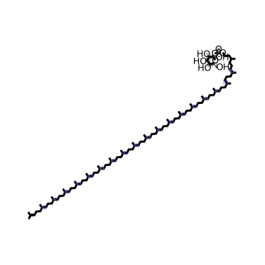 CC(C)=CCC/C(C)=C/CC/C(C)=C/CC/C(C)=C/CC/C(C)=C/CC/C(C)=C/CC/C(C)=C/CC/C(C)=C/CC/C(C)=C/CC/C(C)=C/CC/C(C)=C/CC/C(C)=C/CC/C(C)=C/CC/C(C)=C/CC/C(C)=C/CC/C(C)=C/CC/C(C)=C/CC/C(C)=C/CC/C(C)=C/CCC(C)CCOP(=O)(O)O[C@@H]1O[C@H](CO)[C@@H](O)[C@H](O)[C@@H]1O